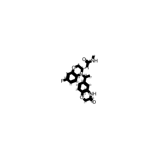 CNC(=O)C[C@H]1COc2cc(F)ccc2N1C(C)c1ccc2c(c1)NC(=O)CO2